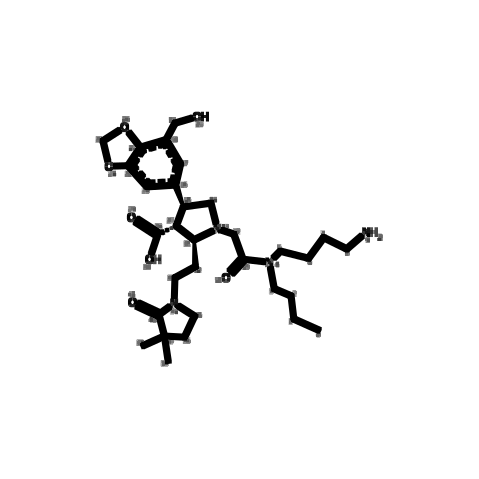 CCCCN(CCCCN)C(=O)CN1C[C@H](c2cc(CO)c3c(c2)OCO3)[C@@H](C(=O)O)[C@@H]1CCN1CCC(C)(C)C1=O